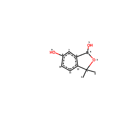 CC1(C)OB(O)c2cc(O)ccc21